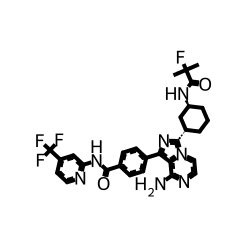 CC(C)(F)C(=O)N[C@H]1CCC[C@H](c2nc(-c3ccc(C(=O)Nc4cc(C(F)(F)F)ccn4)cc3)c3c(N)nccn23)C1